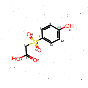 O=C(O)CS(=O)(=O)c1ccc(O)cc1